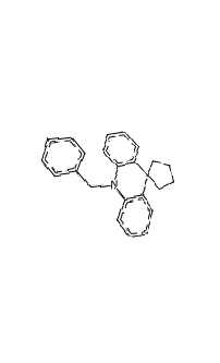 c1ccc(CN2c3ccccc3C3(CCCC3)c3ccccc32)cc1